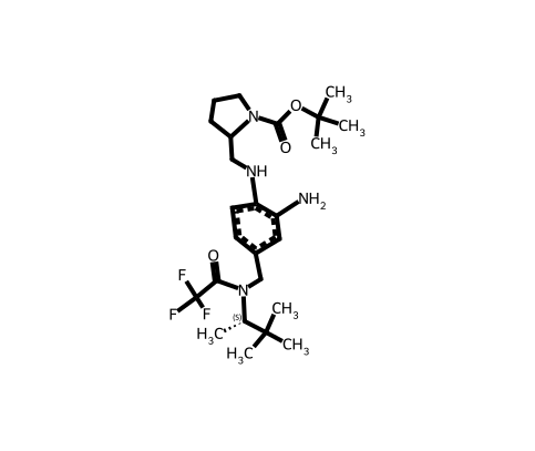 C[C@H](N(Cc1ccc(NCC2CCCN2C(=O)OC(C)(C)C)c(N)c1)C(=O)C(F)(F)F)C(C)(C)C